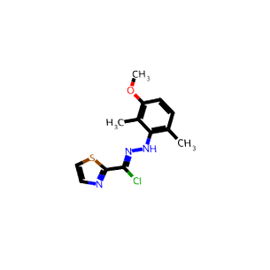 COc1ccc(C)c(N/N=C(\Cl)c2nccs2)c1C